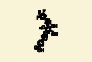 CCO[C@@H]1[C@@H](n2cc(-c3cc(F)c(F)c(F)c3)nn2)[C@@H](O)[C@@H](CO)O[C@@H]1Cc1cc(C2CCN(C(=O)O)CC2)on1